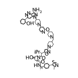 Cc1ncsc1-c1ccc([C@H](C)NC(=O)[C@@H]2C[C@@H](O)CN2C(=O)C(c2cc(N3CCC(CN4CCC(Oc5cc(N6CCC(n7nc(N)c8nnc(-c9ccccc9O)cc87)CC6)ccn5)CC4)CC3)no2)C(C)C)cc1